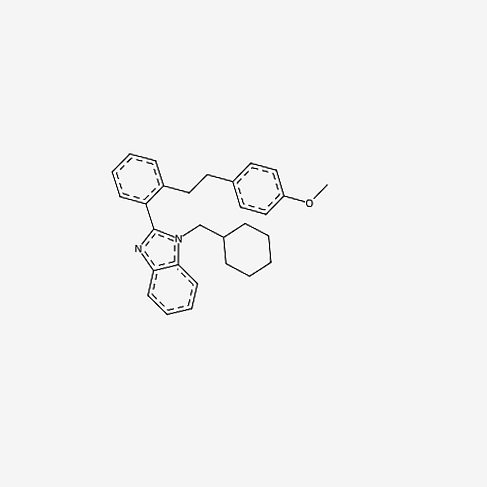 COc1ccc(CCc2ccccc2-c2nc3ccccc3n2CC2CCCCC2)cc1